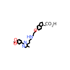 Cc1cnc(-c2ccc3c(c2)OCO3)nc1CCCNCCCOc1ccc2c(c1)CC[C@H]2CC(=O)O